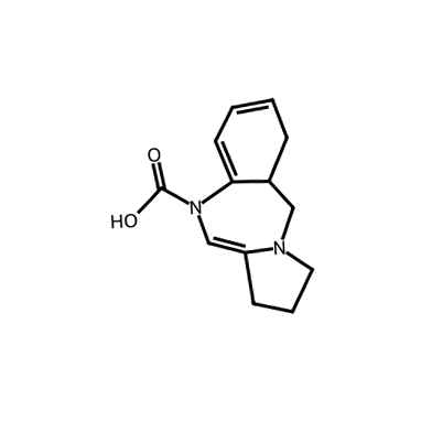 O=C(O)N1C=C2CCCN2CC2CC=CC=C21